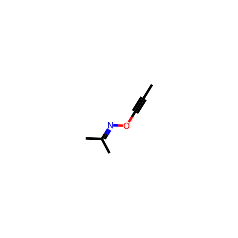 CC#CON=C(C)C